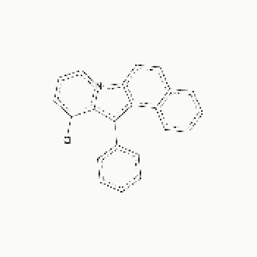 Clc1cccn2c1c(-c1ccccc1)c1c3ccccc3ccc12